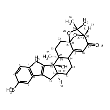 Bc1ccc2[nH]c3c(c2c1)C[C@@H]1CCC2C4=CC(=O)[C@@H]5O[C@@]4(CC[C@]2(C)[C@@]31C)OC5(C)C